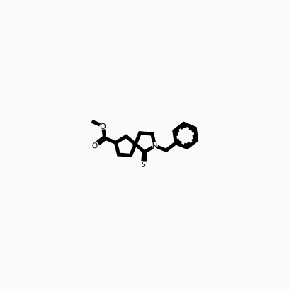 COC(=O)C1CCC2(CCN(Cc3ccccc3)C2=S)C1